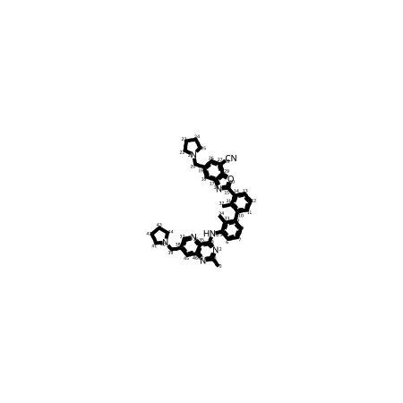 Cc1nc(Nc2cccc(-c3cccc(-c4nc5cc(CN6CCCC6)cc(C#N)c5o4)c3C)c2C)c2ncc(CN3CCCC3)cc2n1